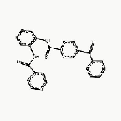 O=C(Nc1ccncc1NC(=O)c1ccncc1)c1ccc(C(=O)c2ccccc2)cc1